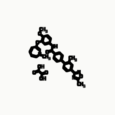 COc1ccc(NC(=O)c2ccc(-c3ccc(-c4noc(C)n4)cc3C)cc2)cc1OC1=CN(C)C=CC=C1.O=C(O)C(=O)O